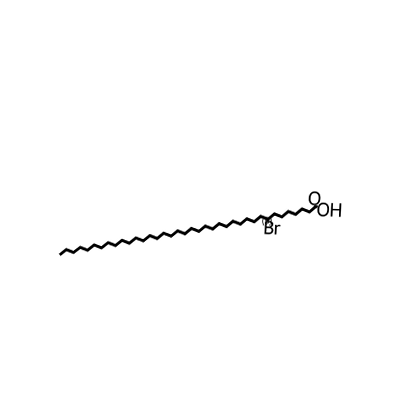 CCCCCCCCCCCCCCCCCCCCCCCCCCCCCC[C@H](Br)CCCCCCC(=O)O